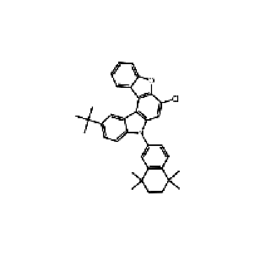 CC(C)(C)c1ccc2c(c1)c1c3c(oc4ccccc43)c(Cl)cc1n2-c1ccc2c(c1)C(C)(C)CCC2(C)C